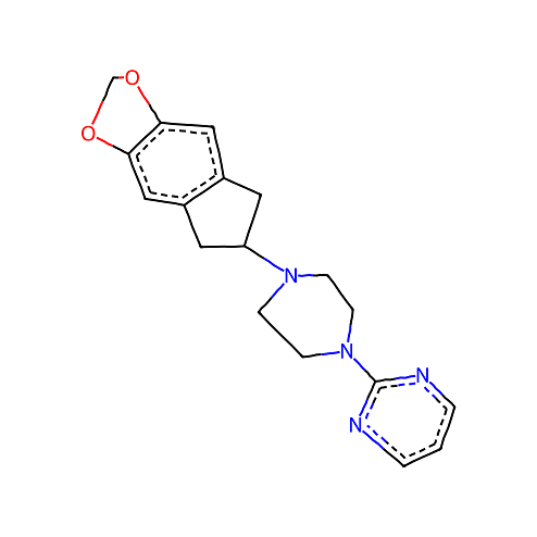 c1cnc(N2CCN(C3Cc4cc5c(cc4C3)OCO5)CC2)nc1